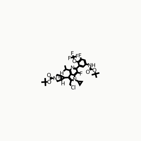 CC(C)c1nc(-c2cc(NC(=O)OC(C)(C)C)cc(F)c2OC(F)(F)F)c(F)c2c1c(C1[C@H]3CN(C(=O)OC(C)(C)C)C[C@@H]13)c(CCl)n2C1CC1